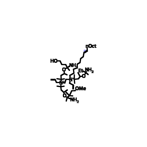 C=CC[N+](CCCCCCCC/C=C/CCCCCCCC)(CC[N+](CC=C)(C(C)(C)CC(C)OC(C)(N)CCCO)C(C)(C)CC(C)OC(C)(N)C(C)(C)CCOC)C(C)(C)CC(C)OC(C)(N)CC